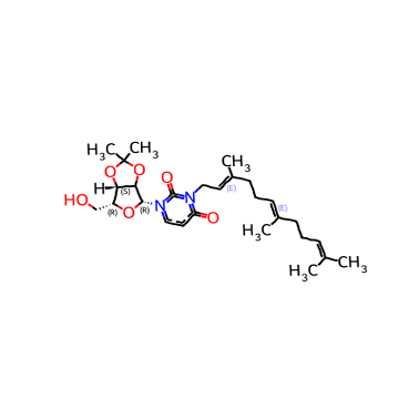 CC(C)=CCC/C(C)=C/CC/C(C)=C/Cn1c(=O)ccn([C@@H]2O[C@H](CO)[C@@H]3OC(C)(C)OC32)c1=O